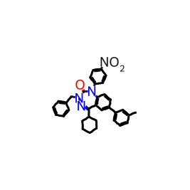 Cc1cccc(-c2ccc3c(c2)C(C2CCCCC2)=NN(Cc2ccccc2)C(=O)N3c2ccc([N+](=O)[O-])cc2)c1